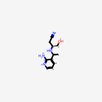 CC(N[C@H](CO)CC#N)c1cccnc1N